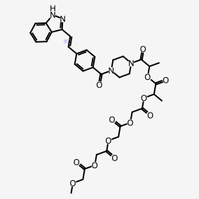 COCC(=O)OCC(=O)OCC(=O)OCC(=O)OC(C)C(=O)OC(C)C(=O)N1CCN(C(=O)c2ccc(/C=C/c3n[nH]c4ccccc34)cc2)CC1